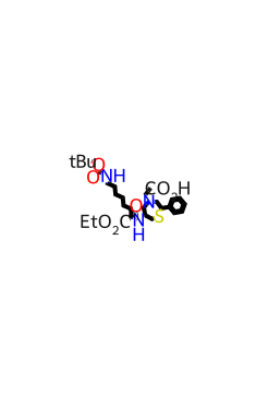 CCOC(=O)[C@@H](CCCCCCNC(=O)OC(C)(C)C)NC1CSC(c2ccccc2)CN(CC(=O)O)C1=O